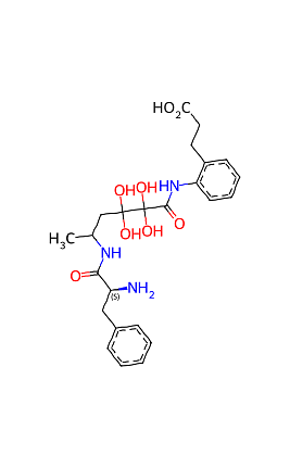 CC(CC(O)(O)C(O)(O)C(=O)Nc1ccccc1CCC(=O)O)NC(=O)[C@@H](N)Cc1ccccc1